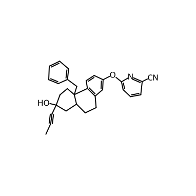 CC#CC1(O)CCC2(Cc3ccccc3)c3ccc(Oc4cccc(C#N)n4)cc3CCC2C1